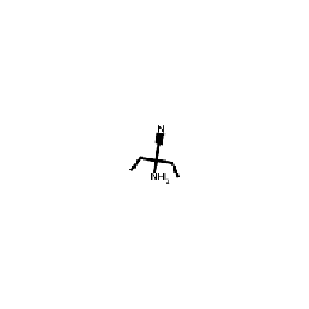 CCC(N)(C#N)CC